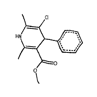 COC(=O)C1=C(C)NC(C)=C(Cl)C1c1ccccc1